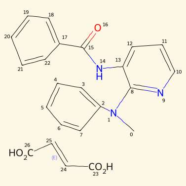 CN(c1ccccc1)c1ncccc1NC(=O)c1ccccc1.O=C(O)/C=C/C(=O)O